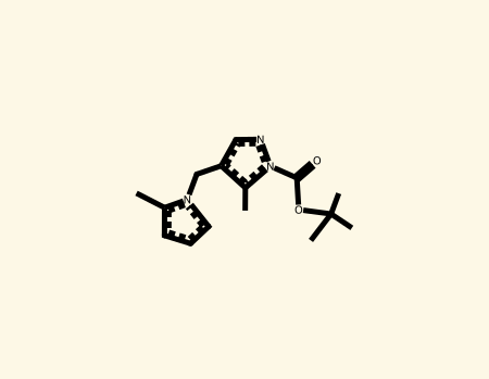 Cc1cccn1Cc1cnn(C(=O)OC(C)(C)C)c1C